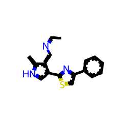 C=c1[nH]cc(-c2nc(-c3ccccc3)cs2)/c1=C/N=C\C